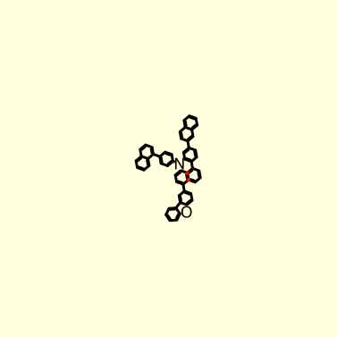 c1ccc(-c2ccc(-c3ccc4ccccc4c3)cc2N(c2ccc(-c3ccc4oc5ccccc5c4c3)cc2)c2ccc(-c3cccc4ccccc34)cc2)cc1